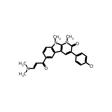 CN(C)C=CC(=O)c1ccc2c(c1)c1cc(-c3ccc(Cl)cc3)c(=O)n(C)c1n2C